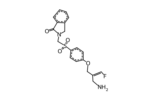 NCC(=CF)COc1ccc(S(=O)(=O)CN2Cc3ccccc3C2=O)cc1